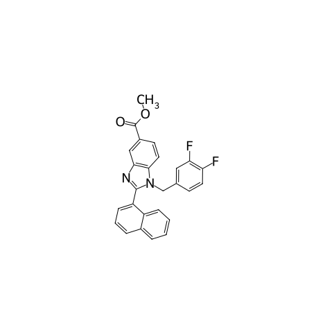 COC(=O)c1ccc2c(c1)nc(-c1cccc3ccccc13)n2Cc1ccc(F)c(F)c1